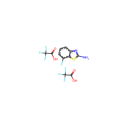 Nc1nc2cccc(F)c2s1.O=C(O)C(F)(F)F.O=C(O)C(F)(F)F